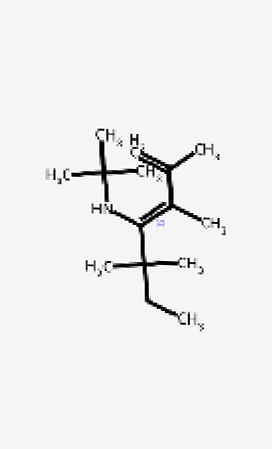 C=C(C)/C(C)=C(\NC(C)(C)C)C(C)(C)CC